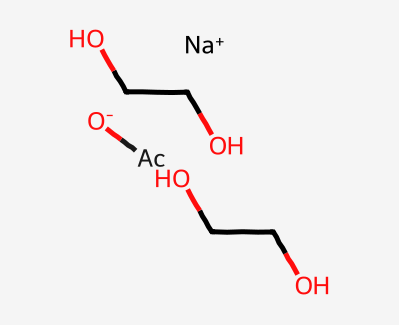 CC(=O)[O-].OCCO.OCCO.[Na+]